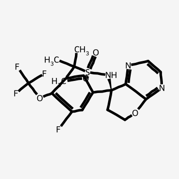 CC(C)(C)S(=O)(=O)N[C@]1(c2ccc(OC(F)(F)F)c(F)c2)CCOc2nccnc21